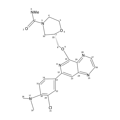 CNC(=O)N1CCO[C@H](COc2nc(-c3ccc(N(C)C)c(Cl)c3)cc3nccnc23)C1